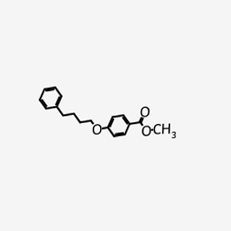 COC(=O)c1ccc(OCCCCc2ccccc2)cc1